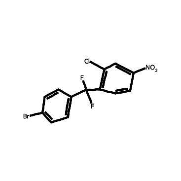 O=[N+]([O-])c1ccc(C(F)(F)c2ccc(Br)cc2)c(Cl)c1